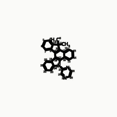 CC1(C)c2ccccc2-c2c1c1ccccc1c1c2c2ccccc2n1-c1cnccn1